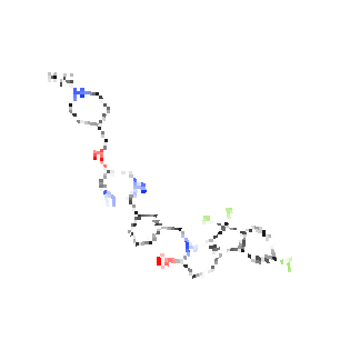 CN1CCC(COc2cnc(-c3cccc(Cn4c5c(ccc4=O)-c4cc(F)ccc4C5(F)F)c3)nc2)CC1